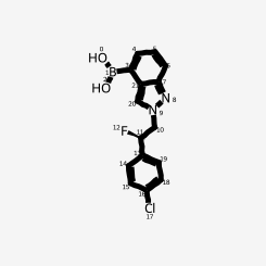 OB(O)c1cccc2nn(C[C@H](F)c3ccc(Cl)cc3)cc12